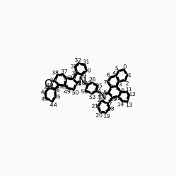 c1ccc2c(c1)ccc1c2c2ccccc2c2c3ccccc3n(-c3ccc(-n4c5ccccc5c5c6ccc7oc8ccccc8c7c6ccc54)cc3)c12